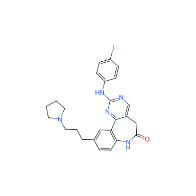 O=C1Cc2cnc(Nc3ccc(I)cc3)nc2-c2cc(CCCN3CCCC3)ccc2N1